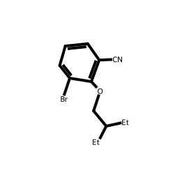 CCC(CC)COc1c(Br)cccc1C#N